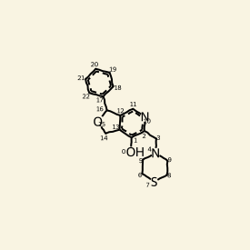 Oc1c(CN2CCSCC2)ncc2c1COC2c1ccccc1